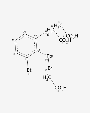 CC(=O)O.CC(=O)O.CC(=O)O.CCc1cccc(CC)[c]1[Pb][Br]